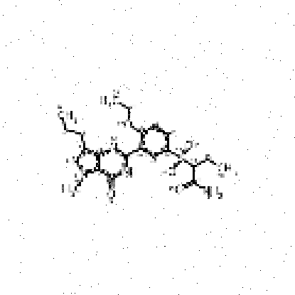 CCCc1nn(C)c2c(=O)[nH]c(-c3cc(S(=O)(=O)C(CC)C(N)=O)ccc3OCC)nc12